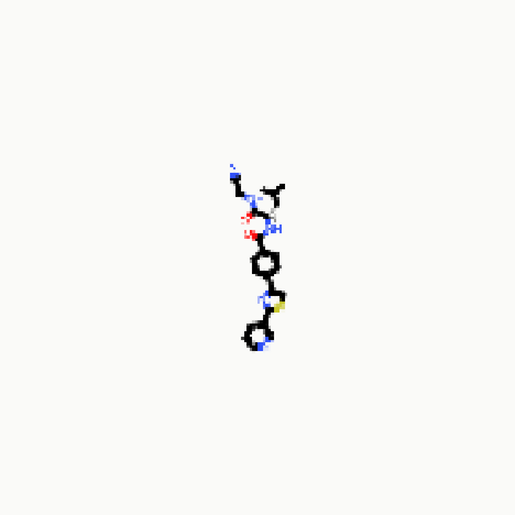 CC(C)C[C@H](NC(=O)c1ccc(-c2csc(-c3cccnc3)n2)cc1)C(=O)NCC#N